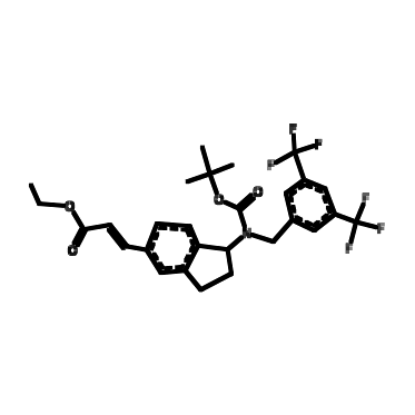 CCOC(=O)/C=C/c1ccc2c(c1)CCC2N(Cc1cc(C(F)(F)F)cc(C(F)(F)F)c1)C(=O)OC(C)(C)C